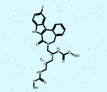 CC(C)(C)OC(=O)NC[C@H](F)C[C@@H](CN1Cc2ccccc2-c2c([nH]c3ccc(F)cc23)C1=O)NC(=O)OC(C)(C)C